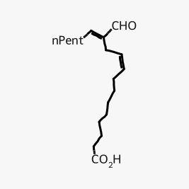 CCCCC/C=C(/C=O)C/C=C\CCCCCCCC(=O)O